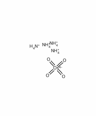 [NH4+].[NH4+].[NH4+].[NH4+].[O]=[Os-4](=[O])(=[O])=[O]